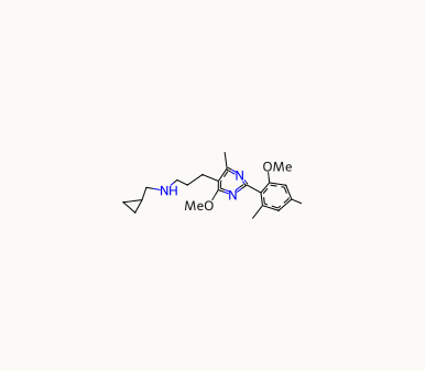 COc1cc(C)cc(C)c1-c1nc(C)c(CCCNCC2CC2)c(OC)n1